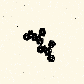 CC1(C)c2ccccc2-c2cc3c4cc(-c5cccc6c5sc5c(-c7ccccc7)nc(-c7ccccc7)nc56)ccc4n(-c4ccccc4)c3cc21